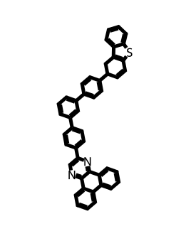 C1=CC(c2ccc(-c3cccc(-c4ccc(-c5cnc6c7ccccc7c7ccccc7c6n5)cc4)c3)cc2)Cc2c1sc1ccccc21